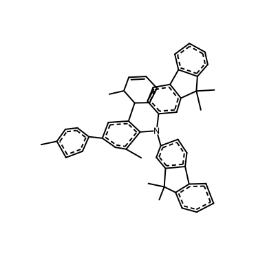 Cc1ccc(-c2cc(C)c(N(c3ccc4c(c3)C(C)(C)c3ccccc3-4)c3ccc4c(c3)C(C)(C)c3ccccc3-4)c(C3C=CC=CC3C)c2)cc1